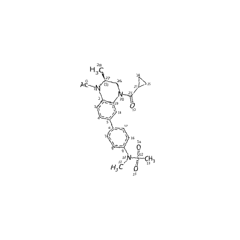 CC(=O)N1c2ccc(-c3ccc(N(C)S(C)(=O)=O)cc3)cc2N(C(=O)C2CC2)C[C@@H]1C